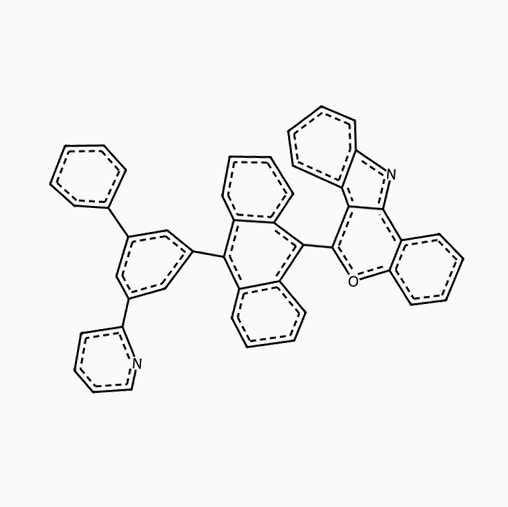 c1ccc(-c2cc(-c3ccccn3)cc(-c3c4ccccc4c(-c4oc5ccccc5c5nc6ccccc6c4-5)c4ccccc34)c2)cc1